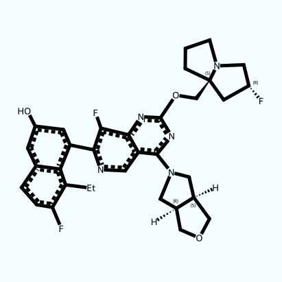 CCc1c(F)ccc2cc(O)cc(-c3ncc4c(N5C[C@H]6COC[C@H]6C5)nc(OC[C@@]56CCCN5C[C@H](F)C6)nc4c3F)c12